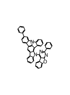 c1ccc(-c2ccc3c4cc5c6ccccc6n(-c6nc(-c7ccccc7)nc7oc8ccccc8c67)c5c5c6ccccc6n(c3c2)c45)cc1